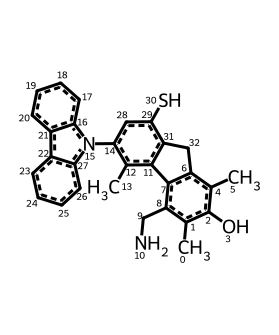 Cc1c(O)c(C)c2c(c1CN)-c1c(C)c(-n3c4ccccc4c4ccccc43)cc(S)c1C2